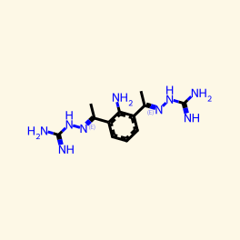 C/C(=N\NC(=N)N)c1cccc(/C(C)=N/NC(=N)N)c1N